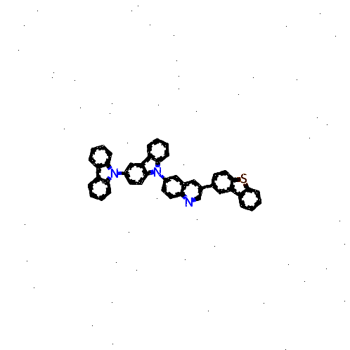 c1ccc2c(c1)sc1ccc(-c3cnc4ccc(-n5c6ccccc6c6cc(-n7c8ccccc8c8ccccc87)ccc65)cc4c3)cc12